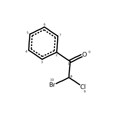 O=C(c1ccccc1)C(Cl)Br